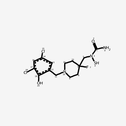 NC(=O)N(S)CC1(F)CCN(Cc2cc(Cl)cc(Cl)c2O)CC1